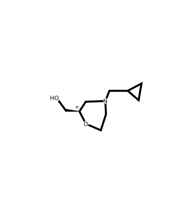 OC[C@H]1CN(CC2CC2)CCO1